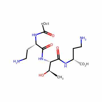 CCCCCCCCC(=O)N[C@@H](CCN)C(=O)N[C@H](C(=O)N[C@H](CCN)C(=O)O)[C@@H](C)O